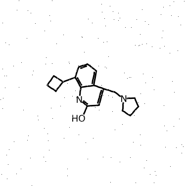 Oc1cc(CN2CCCC2)c2cccc(C3CCC3)c2n1